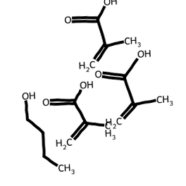 C=C(C)C(=O)O.C=C(C)C(=O)O.C=C(C)C(=O)O.CCCCO